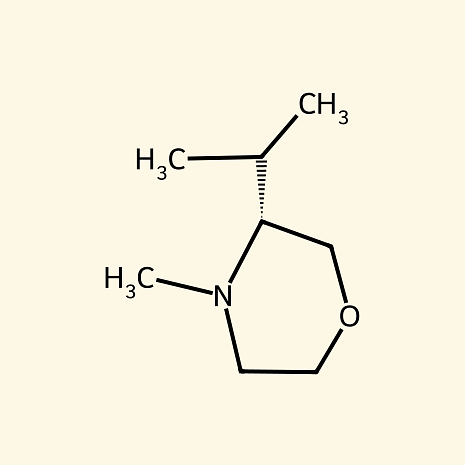 CC(C)[C@@H]1COCCN1C